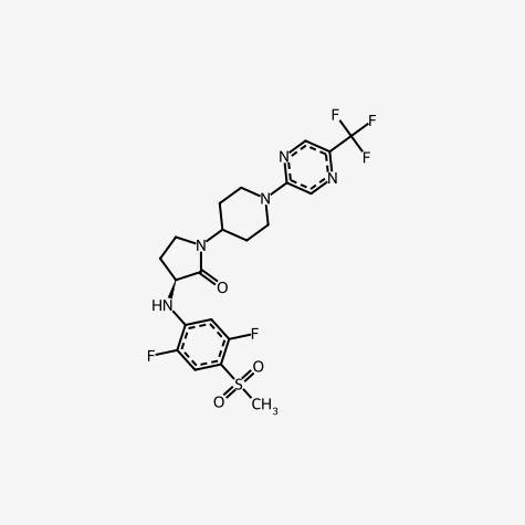 CS(=O)(=O)c1cc(F)c(N[C@H]2CCN(C3CCN(c4cnc(C(F)(F)F)cn4)CC3)C2=O)cc1F